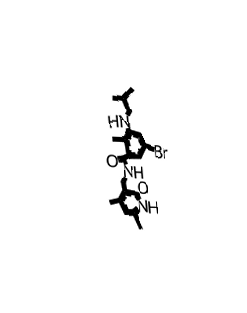 Cc1cc(C)c(CNC(=O)c2cc(Br)cc(NCC(C)C)c2C)c(=O)[nH]1